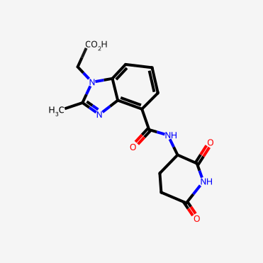 Cc1nc2c(C(=O)NC3CCC(=O)NC3=O)cccc2n1CC(=O)O